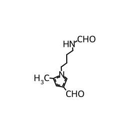 Cc1cc(C=O)cn1CCCCNC=O